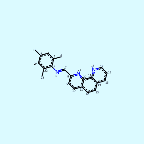 Cc1cc(C)c(/N=C/c2ccc3ccc4cccnc4c3n2)c(C)c1